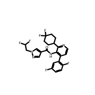 O=C(Nc1c(-c2cc(F)ccc2F)ccnc1C1CCC(F)(F)CC1)c1cnn(CC(F)F)c1